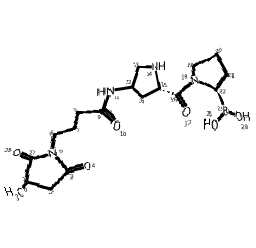 CC1CC(=O)N(CCCC(=O)NC2CN[C@H](C(=O)N3CCC[C@H]3B(O)O)C2)C1=O